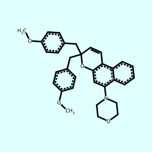 COc1ccc(CC2(Cc3ccc(OC)cc3)C=Cc3c(cc(N4CCOCC4)c4ccccc34)O2)cc1